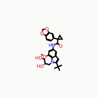 COc1cc(NC(=O)C2(c3ccc4c(c3)OCO4)CC2)cc2cc(C(C)(C)C)n(C[C@H](O)CO)c12